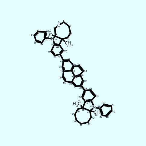 CC12CCCCCCC1(C)N(c1ccccc1)c1ccc(-c3cc4ccc5cc(-c6ccc7c(c6)C6(C)CCCCCCC6(C)N7c6ccccc6)cc6ccc(c3)c4c56)cc12